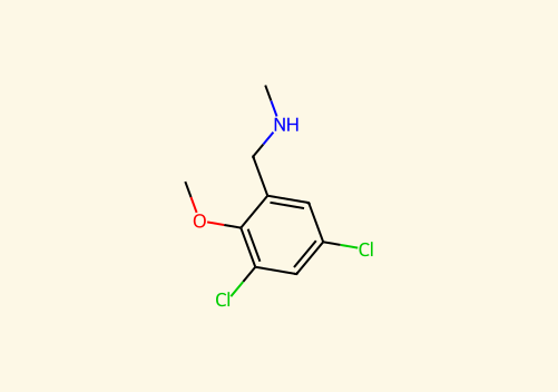 CNCc1cc(Cl)cc(Cl)c1OC